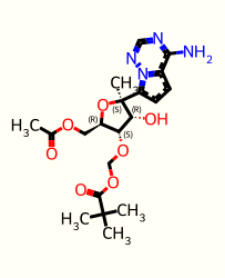 CC(=O)OC[C@H]1O[C@@](C)(c2ccc3c(N)ncnn23)[C@H](O)[C@@H]1OCOC(=O)C(C)(C)C